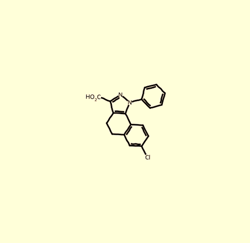 O=C(O)c1nn(-c2ccccc2)c2c1CCc1cc(Cl)ccc1-2